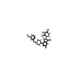 CSc1nccc(CN2CCC(c3cc(F)cc4c3CN(C3CCC(=O)NC3=O)C4=O)CC2)n1